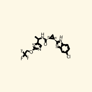 CC(NC(=O)[C@@H]1C[C@H]1c1nc2cc(Cl)ccc2[nH]1)c1cnc(OCC(F)(F)F)s1